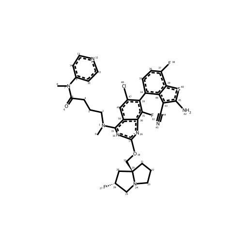 CN(CCCC(=O)N(C)c1ccncc1)c1nc(OC[C@@]23CCCN2C[C@H](F)C3)nc2c(F)c(-c3ccc(F)c4sc(N)c(C#N)c34)c(Cl)cc12